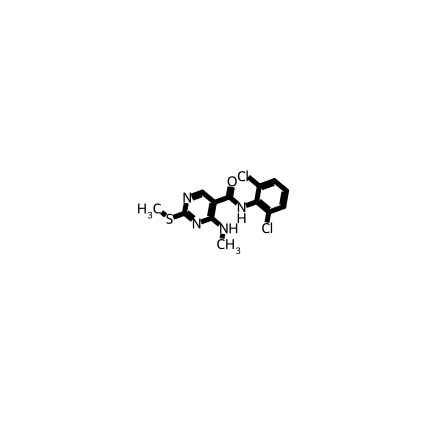 CNc1nc(SC)ncc1C(=O)Nc1c(Cl)cccc1Cl